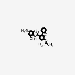 CC(C)Oc1ccc(C(=O)Nc2c(Cl)c[n+](C)cc2Cl)c2c1oc1ccccc12